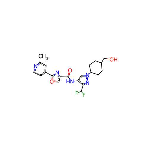 Cc1cc(-c2nc(C(=O)Nc3cn(C4CCC(CO)CC4)nc3C(F)F)co2)ccn1